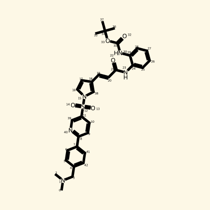 CN(C)Cc1ccc(-c2ccc(S(=O)(=O)n3ccc(C=CC(=O)Nc4ccccc4NC(=O)OC(C)(C)C)c3)cn2)cc1